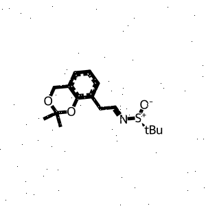 CC1(C)OCc2cccc(C/C=N/[S@+]([O-])C(C)(C)C)c2O1